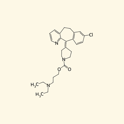 CCN(CC)CCCOC(=O)N1CCC(=C2c3ccc(Cl)cc3CCc3cccnc32)CC1